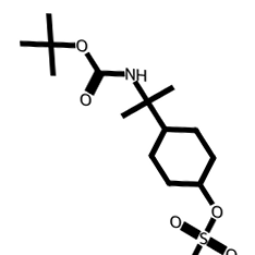 CC(C)(C)OC(=O)NC(C)(C)C1CCC(OS(C)(=O)=O)CC1